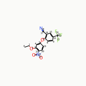 CCOc1cc(Oc2ccc(C(F)(F)F)cc2C#N)ccc1[N+](=O)[O-]